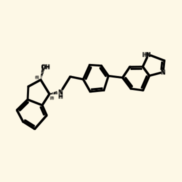 O[C@H]1Cc2ccccc2[C@H]1NCc1ccc(-c2ccc3nc[nH]c3c2)cc1